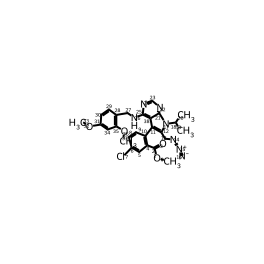 COC(=O)c1cc(Cl)ccc1-c1c(CN=[N+]=[N-])n(C(C)C)c2ncnc(NCc3ccc(OC)cc3OC)c12